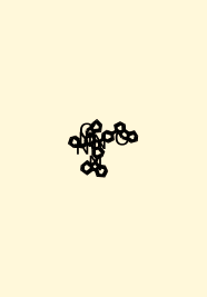 c1ccc2c(c1)nc1c3c4cc(-n5c6ccccc6c6ccccc65)ccc4n(-c4ccc(-c5cccc6c5oc5ccccc56)cc4)c3c3c4ccccc4oc3n21